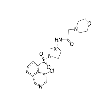 O=C(CN1CCOCC1)N[C@@H]1CCN(S(=O)(=O)c2cccc3cncc(Cl)c23)C1